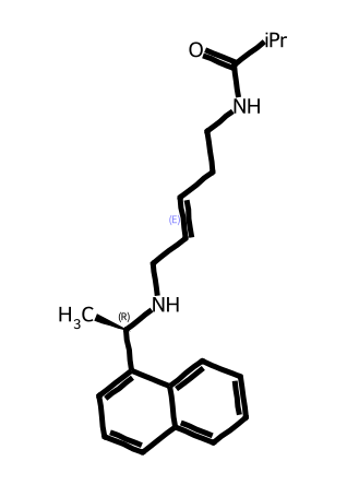 CC(C)C(=O)NCC/C=C/CN[C@H](C)c1cccc2ccccc12